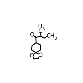 CCC(C)C(=O)C1CCC2(CC1)OCCO2